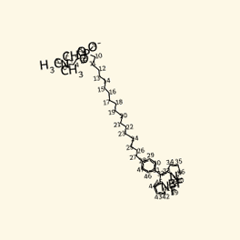 C[N+](C)(C)CCOP(=O)([O-])CCCCCCCCCCCCCCCCCCc1ccc(C2=C3C=CC=[N+]3[B-](F)(F)n3cccc32)cc1